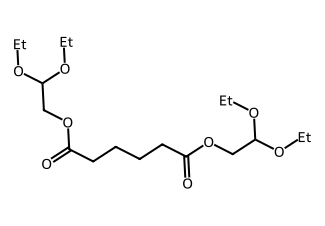 CCOC(COC(=O)CCCCC(=O)OCC(OCC)OCC)OCC